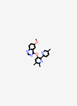 COc1ccc2ncnc(Oc3cc(C)c(C)nc3-c3ccc(C)cn3)c2c1